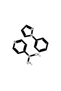 CN(C)c1ccncc1.c1ccc(-n2cccn2)cc1